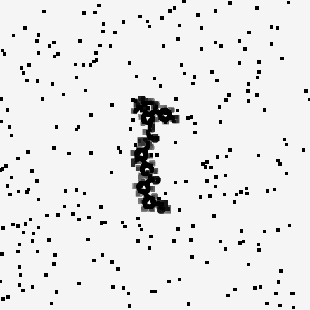 Cc1nnc2n1-c1ccc(OCC(=O)NCc3ccc(F)c(C4CCN(C(=O)c5cccc(-c6cccc(BO)c6)c5)CC4)c3)cc1C(c1ccc(Cl)cc1)=NC2